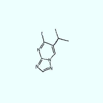 CC(C)c1cn2ncnc2nc1I